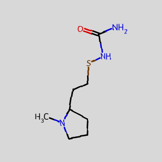 CN1CCCC1CCSNC(N)=O